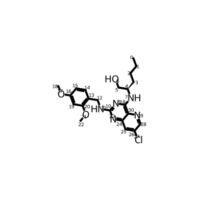 CCCC[C@H](CO)Nc1nc(NCc2ccc(OC)cc2OC)nc2cc(Cl)cnc12